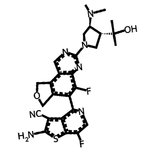 CN(C)[C@@H]1CN(c2ncc3c4c(c(-c5ncc(F)c6sc(N)c(C#N)c56)c(F)c3n2)COC4)C[C@H]1C(C)(C)O